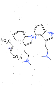 CN(C)CCc1c[nH]c2ccccc12.CN(C)CCc1c[nH]c2ccccc12.O=C(O)/C=C/C(=O)O